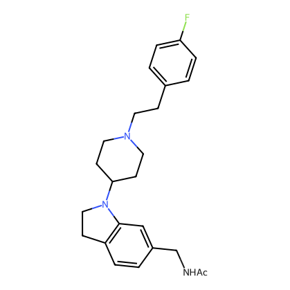 CC(=O)NCc1ccc2c(c1)N(C1CCN(CCc3ccc(F)cc3)CC1)CC2